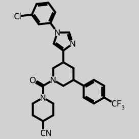 N#CC1CCN(C(=O)N2CC(c3ccc(C(F)(F)F)cc3)CC(c3cn(-c4cccc(Cl)c4)cn3)C2)CC1